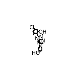 Cc1cc(Cl)cc(O)c1-c1nc2nc(N3CC[C@H](O)C3)cnc2n1C